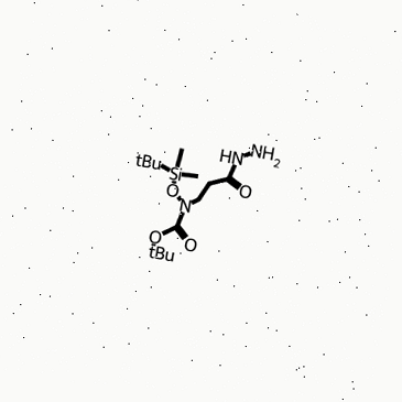 CC(C)(C)OC(=O)N(CCC(=O)NN)O[Si](C)(C)C(C)(C)C